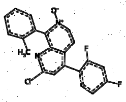 Cc1ccccc1-c1c2nc(Cl)cc(-c3ccc(F)cc3F)c2cc[n+]1[O-]